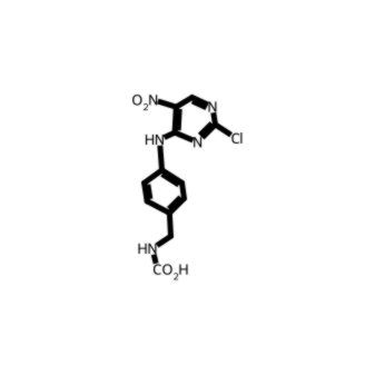 O=C(O)NCc1ccc(Nc2nc(Cl)ncc2[N+](=O)[O-])cc1